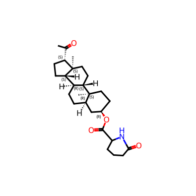 CC(=O)[C@H]1CC[C@H]2[C@@H]3CC[C@@H]4C[C@H](OC(=O)C5CCCC(=O)N5)CC[C@]4(C)[C@H]3CC[C@]12C